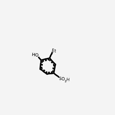 CCc1cc(S(=O)(=O)O)ccc1O